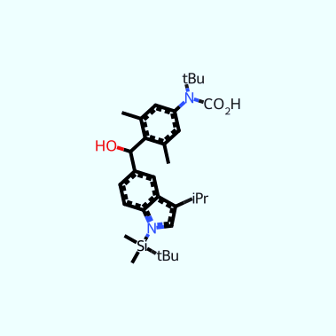 Cc1cc(N(C(=O)O)C(C)(C)C)cc(C)c1C(O)c1ccc2c(c1)c(C(C)C)cn2[Si](C)(C)C(C)(C)C